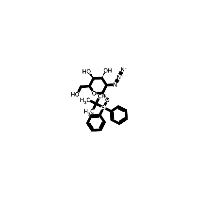 CC(C)(C)[Si](O[C@@H]1OC(CO)[C@@H](O)[C@H](O)C1N=[N+]=[N-])(c1ccccc1)c1ccccc1